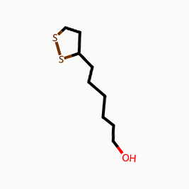 OCCCCCCC1CCSS1